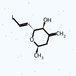 C=C1C[C@@H](C)O[C@H](/C=C/I)[C@H]1O